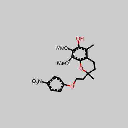 COc1c(O)c(C)c2c(c1OC)OC(C)(CCOc1ccc([N+](=O)[O-])cc1)CC2